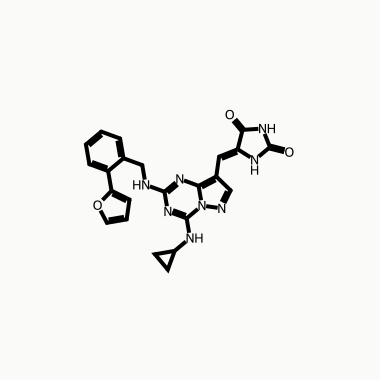 O=C1NC(=O)/C(=C/c2cnn3c(NC4CC4)nc(NCc4ccccc4-c4ccco4)nc23)N1